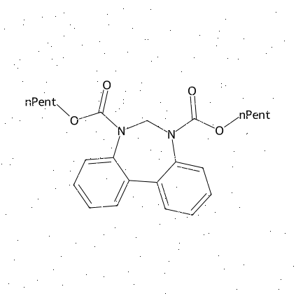 CCCCCOC(=O)N1CN(C(=O)OCCCCC)c2ccccc2-c2ccccc21